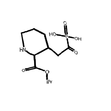 CC(C)OC(=O)C1NCCCC1CC(=O)P(=O)(O)O